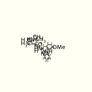 COc1ccc(C[C@H](NC(=O)NC2CC(C)(C)NC(C)(C)C2)c2nc3ccccc3[nH]2)cc1